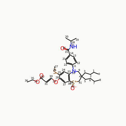 CCCCC1(CCCC)CN(c2ccc(C(=O)NC(C)C)cc2)c2cc(SC)c(O/C=C/C(=O)OCC)cc2[S+]([O-])C1